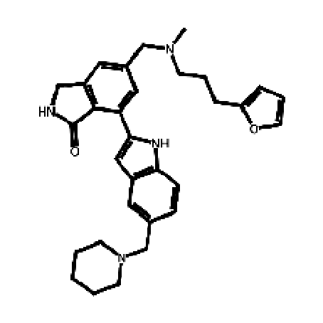 CN(CCCc1ccco1)Cc1cc2c(c(-c3cc4cc(CN5CCCCC5)ccc4[nH]3)c1)C(=O)NC2